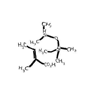 C/C=C(\C)C(=O)O.C[SiH](C)O[Si](C)(C)C